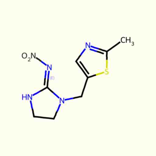 Cc1ncc(CN2CCN/C2=N\[N+](=O)[O-])s1